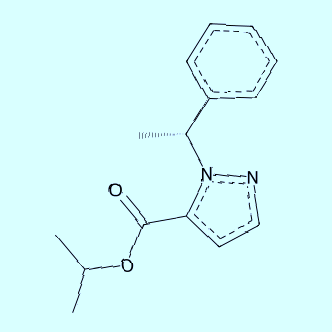 CC(C)OC(=O)c1ccnn1[C@H](C)c1ccccc1